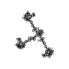 CC(=O)NC1C(OCCOCCOCCNC(=O)CCOCC(COCCC(=O)NCCOCCOCCOC2OC(COC(C)=O)C(OC(C)=O)C(OC(C)=O)C2NC(C)=O)(COCCC(=O)NCCOCCOCCOC2OC(COC(C)=O)C(OC(C)=O)C(OC(C)=O)C2NC(C)=O)NC(=O)C(F)(F)F)OC(COC(C)=O)C(OC(C)=O)C1OC(C)=O